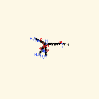 C#CCNC(=O)CCCCCCCCCCC(=O)NC(COCCC(=O)NCCCN)(COCCC(=O)NCCCN)COCCC(=O)NCCCN